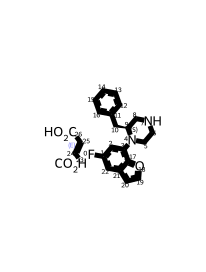 Fc1cc(N2CCNC[C@@H]2Cc2ccccc2)c2occc2c1.O=C(O)/C=C/C(=O)O